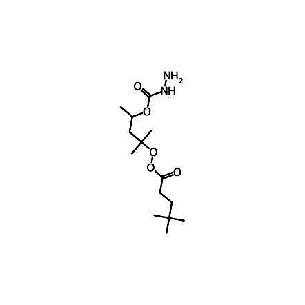 CC(CC(C)(C)OOC(=O)CCC(C)(C)C)OC(=O)NN